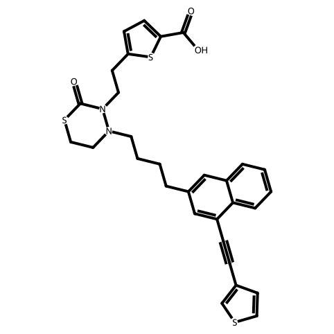 O=C(O)c1ccc(CCN2C(=O)SCCN2CCCCc2cc(C#Cc3ccsc3)c3ccccc3c2)s1